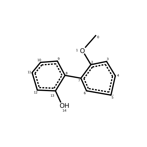 COc1cc[c]cc1-c1ccccc1O